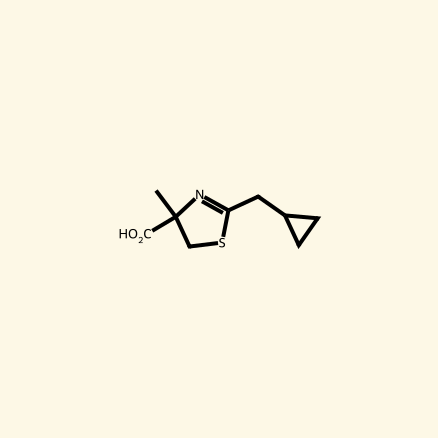 CC1(C(=O)O)CSC(CC2CC2)=N1